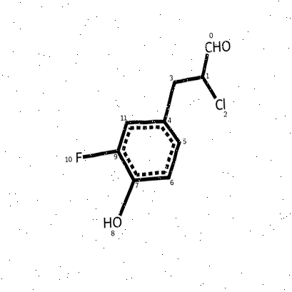 O=CC(Cl)Cc1ccc(O)c(F)c1